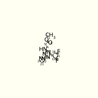 CCOC(=O)CCNc1nc(-c2cc(F)cc(F)c2)nc(-n2cccn2)n1